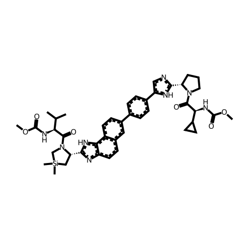 COC(=O)N[C@H](C(=O)N1C[Si](C)(C)C[C@H]1c1nc2ccc3cc(-c4ccc(-c5cnc([C@@H]6CCCN6C(=O)[C@@H](NC(=O)OC)C6CC6)[nH]5)cc4)ccc3c2[nH]1)C(C)C